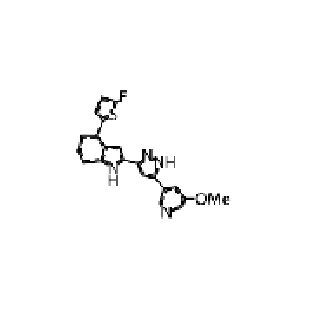 COc1cncc(-c2cc(-c3cc4c(-c5ccc(F)s5)cccc4[nH]3)n[nH]2)c1